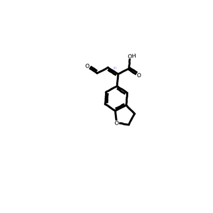 O=C/C=C(/C(=O)O)c1ccc2c(c1)CCO2